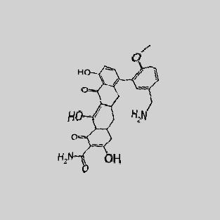 COc1ccc(CN)cc1-c1ccc(O)c2c1CC1CC3CC(O)=C(C(N)=O)C(=O)C3C(O)=C1C2=O